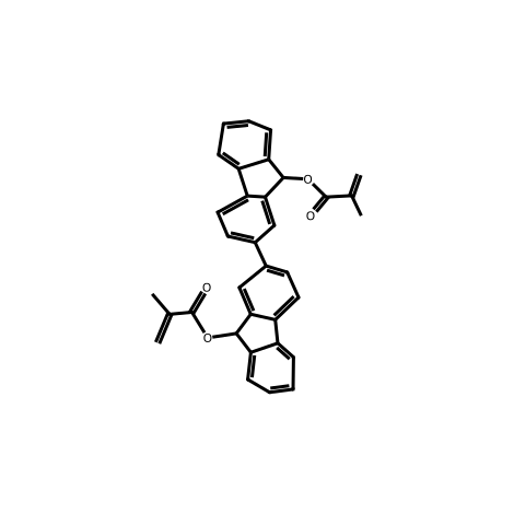 C=C(C)C(=O)OC1c2ccccc2-c2ccc(-c3ccc4c(c3)C(OC(=O)C(=C)C)c3ccccc3-4)cc21